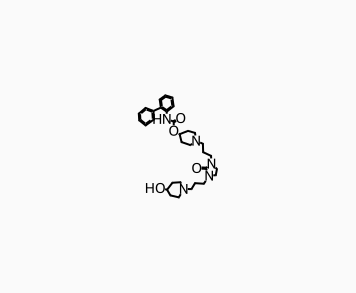 O=C(Nc1ccccc1-c1ccccc1)OC1CCN(CCCN2CCN(CCCN3CCC(O)CC3)C2=O)CC1